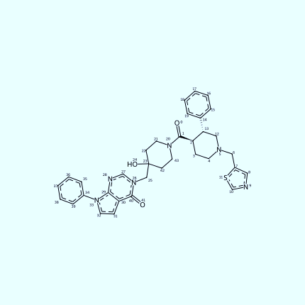 O=C([C@@H]1CCN(Cc2cncs2)C[C@H]1c1ccccc1)N1CCC(O)(Cn2cnc3c(ccn3-c3ccccc3)c2=O)CC1